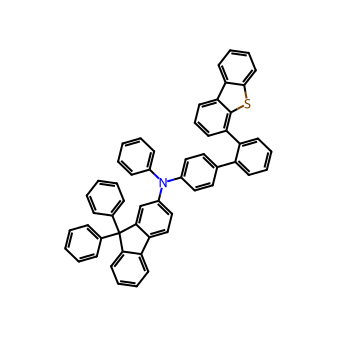 c1ccc(N(c2ccc(-c3ccccc3-c3cccc4c3sc3ccccc34)cc2)c2ccc3c(c2)C(c2ccccc2)(c2ccccc2)c2ccccc2-3)cc1